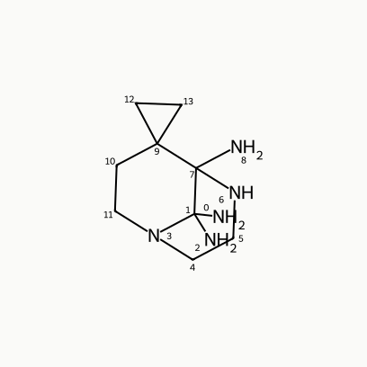 NC1(N)N2CCNC1(N)C1(CC2)CC1